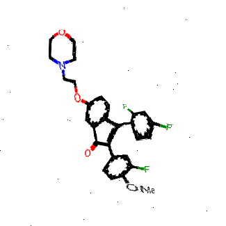 COc1ccc(C2=C(c3ccc(F)cc3F)c3ccc(OCCN4CCOCC4)cc3C2=O)cc1F